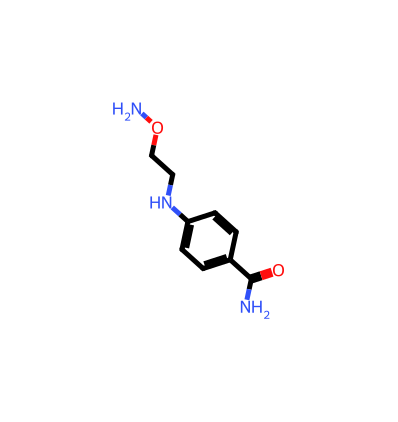 NOCCNc1ccc(C(N)=O)cc1